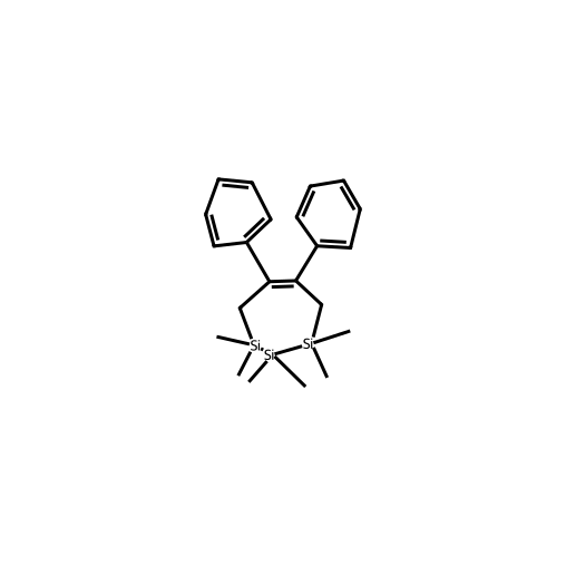 C[Si]1(C)CC(c2ccccc2)=C(c2ccccc2)C[Si](C)(C)[Si]1(C)C